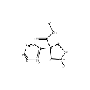 COC(=O)C1(c2cnccn2)CCN(C)C1